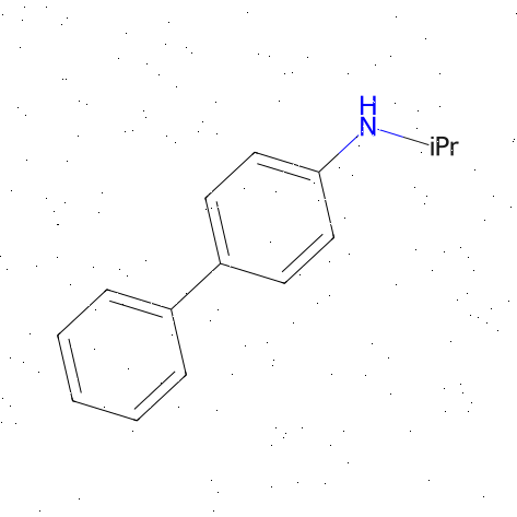 CC(C)Nc1ccc(-c2ccccc2)cc1